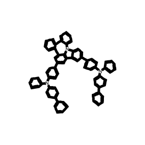 c1ccc(-c2ccc(N(c3ccccc3)c3ccc(-c4ccc5c(c4)c4cc(-c6ccc(N(c7ccccc7)c7ccc(-c8ccccc8)cc7)cc6)cc6c4n5-c4ccccc4-c4ccccc4-6)cc3)cc2)cc1